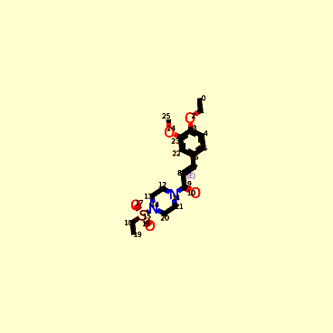 CCOc1ccc(/C=C/C(=O)N2CCN(S(=O)(=O)CC)CC2)cc1OC